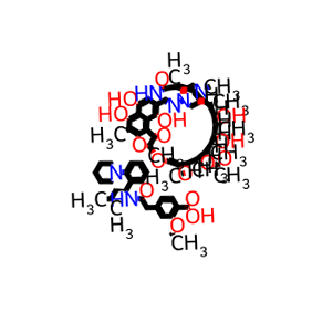 CCOc1cc(CC(=O)N[C@@H](CC(C)C)c2ccccc2N2CCCCC2)ccc1C(=O)O.CO[C@H]1/C=C/O[C@@]2(C)Oc3c(C)c(O)c4c(O)c(c(/C=N/N5CCN(C)CC5)c(O)c4c3C2=O)NC(=O)/C(C)=C\C=C\[C@H](C)[C@H](O)[C@@H](C)[C@@H](O)[C@@H](C)[C@H](OC(C)=O)[C@@H]1C